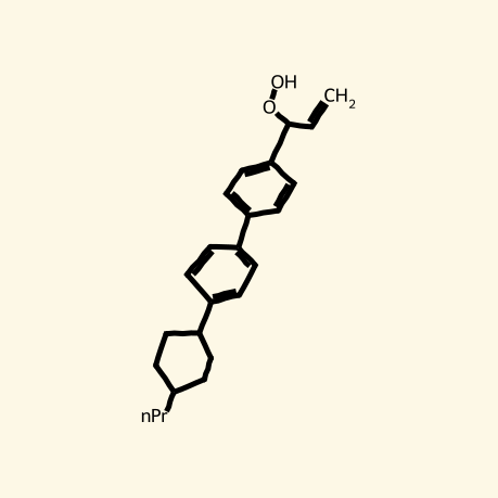 C=CC(OO)c1ccc(-c2ccc(C3CCC(CCC)CC3)cc2)cc1